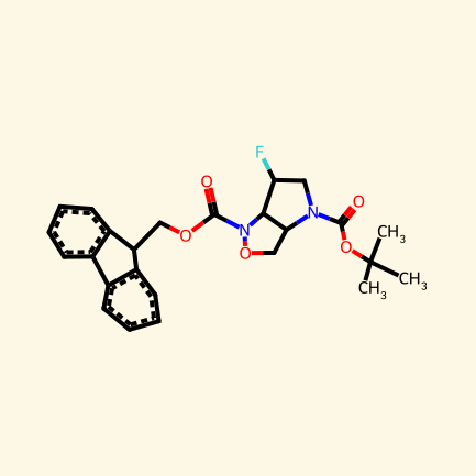 CC(C)(C)OC(=O)N1CC(F)C2C1CON2C(=O)OCC1c2ccccc2-c2ccccc21